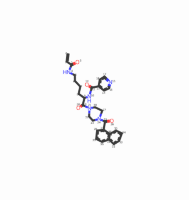 C=CC(=O)NCCCCC(NC(=O)c1ccncc1)C(=O)N1CCN(C(=O)c2cccc3ccccc23)CC1